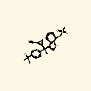 CC(c1ccc(C(F)(F)F)cc1)(c1c[nH]c2c(CS(C)(=O)=O)cccc12)C1CC1C#N